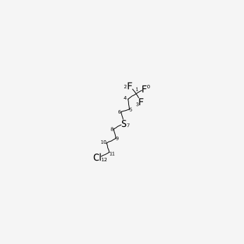 FC(F)(F)CCCSCCCCCl